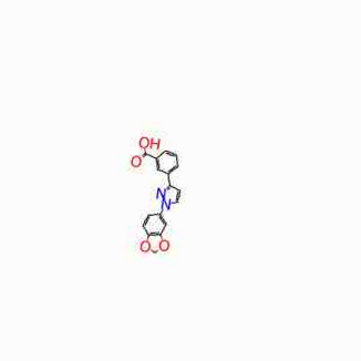 O=C(O)c1cccc(-c2ccn(-c3ccc4c(c3)OCO4)n2)c1